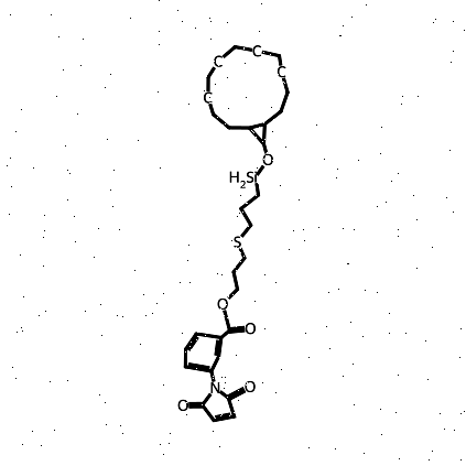 O=C(OCCCSCCC[SiH2]OC1C2CCCCCCCCCCCC21)c1cccc(N2C(=O)C=CC2=O)c1